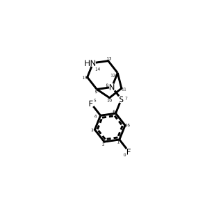 Fc1ccc(F)c(SN2C3CCC2CNC3)c1